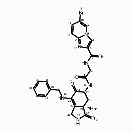 O=C(CNC(=O)c1cn2cc(Br)ccc2n1)N[C@H]1C[C@H]2C(=O)NCC2=C(NCc2ccccc2)C1=O